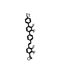 CCc1ccc(-c2ccc(-c3ccc(/C=C/c4ccc(C5CO5)c(F)c4F)cc3)c(F)c2F)cc1